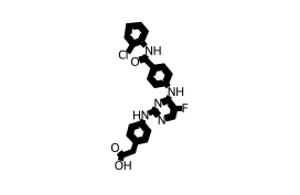 O=C(O)Cc1ccc(Nc2ncc(F)c(Nc3ccc(C(=O)Nc4ccccc4Cl)cc3)n2)cc1